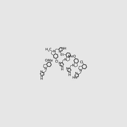 CC1Cc2cc(Cl)ccc2N1Cc1c[nH]cn1.CCc1cccc2c1N(Cc1c[nH]cn1)CC2.COc1ccc2c(c1)CCN2Cc1c[nH]cn1.COc1ccc2c(c1)N(Cc1c[nH]cn1)CC2.Clc1cccc2c1CCN2Cc1c[nH]cn1